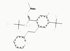 CC(=O)/N=C(/NC(O)(O)O)c1cc(F)c(C(C)(F)F)cc1CCc1ccccn1